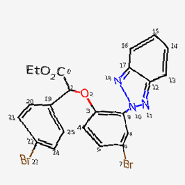 CCOC(=O)C(Oc1ccc(Br)cc1-n1nc2ccccc2n1)c1ccc(Br)cc1